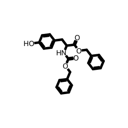 O=C(NC(Cc1ccc(O)cc1)C(=O)OCc1ccccc1)OCc1ccccc1